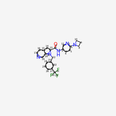 O=C(Nc1ccc(N2CCC2)nc1)c1cc2ccncc2n1Cc1cccc(C(F)(F)F)c1